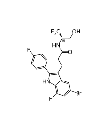 O=C(CCc1c(-c2ccc(F)cc2)[nH]c2c(F)cc(Br)cc12)N[C@H](CO)C(F)(F)F